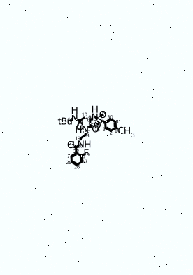 Cc1ccc(S(=O)(=O)N[C@@H](CC(=O)NC(C)(C)C)C(=O)NCCNC(=O)c2ccccc2F)cc1